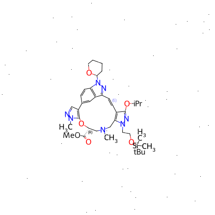 COC(=O)[C@H]1CN(C)Cc2c(c(OC(C)C)nn2CCO[Si](C)(C)C(C)(C)C)/C=C/c2nn(C3CCCCO3)c3ccc(cc23)-c2cnn(C)c2O1